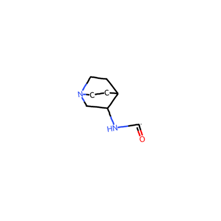 O=[C]NC1CN2CCC1CC2